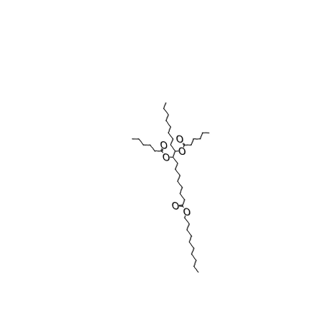 CCCCCCCCCCOC(=O)CCCCCCCC(OC(=O)CCCCC)C(CCCCCCCC)OC(=O)CCCCC